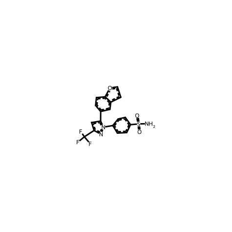 NS(=O)(=O)c1ccc(-n2nc(C(F)(F)F)cc2-c2ccc3occc3c2)cc1